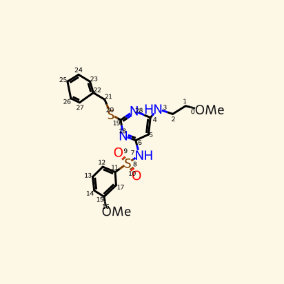 COCCNc1cc(NS(=O)(=O)c2cccc(OC)c2)nc(SCc2ccccc2)n1